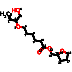 C=CC(CO)OCCCCCC(=O)OCC1CCCO1